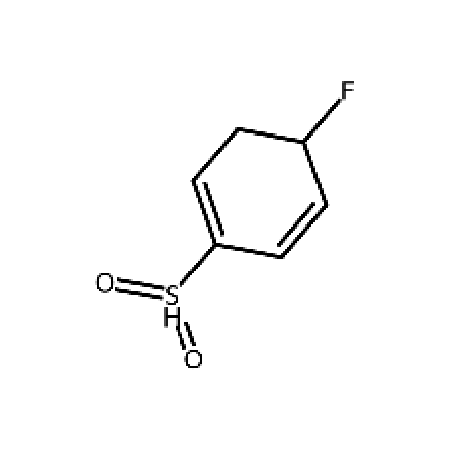 O=[SH](=O)C1=CCC(F)C=C1